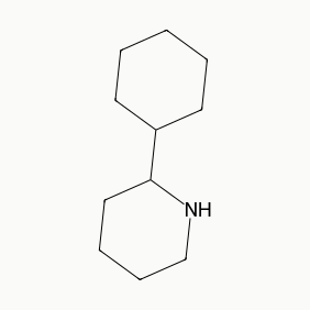 C1CCC(C2CCCCN2)CC1